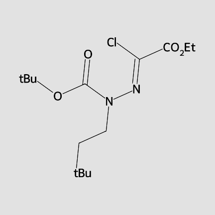 CCOC(=O)/C(Cl)=N/N(CCC(C)(C)C)C(=O)OC(C)(C)C